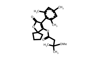 COC(C)(C)CC(=O)OC1=C(c2c(C)cc(C)cc2C)C(=O)OC12CCCC2